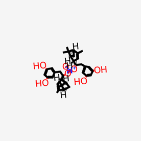 CC1=C[C@H](C(Cc2cc(O)cc(O)c2)O[N+](=O)OC(Cc2cc(O)cc(O)c2)[C@H]2C=C(C)[C@@H]3C[C@@H]2C3(C)C)[C@@H]2C[C@@H]1C2(C)C